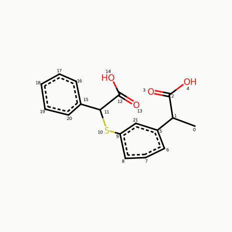 CC(C(=O)O)c1cccc(SC(C(=O)O)c2ccccc2)c1